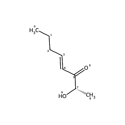 CCC/C=C/C(=O)[C@H](C)O